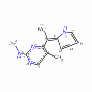 Cc1cnc(NC(C)C)nc1C(C#N)=C1C=CC=CN1